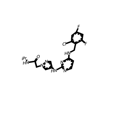 CC(C)NC(=O)Cn1cc(Nc2nccc(NCc3c(F)cc(F)cc3Cl)n2)cn1